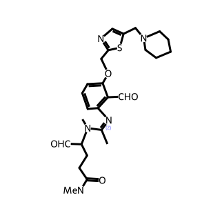 CNC(=O)CCC(C=O)N(C)/C(C)=N\c1cccc(OCc2ncc(CN3CCCCC3)s2)c1C=O